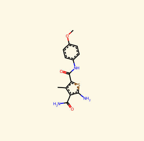 COc1ccc(NC(=O)c2sc(N)c(C(N)=O)c2C)cc1